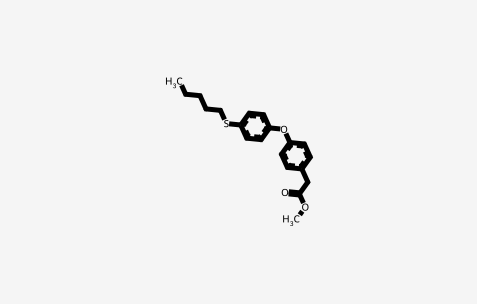 CCCCCSc1ccc(Oc2ccc(CC(=O)OC)cc2)cc1